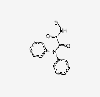 CCNC(=O)C(=O)N(c1ccccc1)c1ccccc1